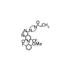 C=CC(=O)N1CCN(c2ncnc3c(=O)n(-c4c(F)cccc4OC)c(C(F)(F)F)cc23)CC1